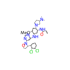 C=CC(=O)Nc1cc(Nc2cc(N3OCCC3c3cccc(Cl)c3Cl)ncn2)c(OC)cc1N1CCC(N(C)C)C1